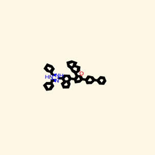 c1ccc(C2=NC(c3ccc(-c4ccc(-c5ccc(-c6ccccc6)cc5)c5oc6cc7ccccc7cc6c45)c4ccccc34)NC(c3ccccc3)N2)cc1